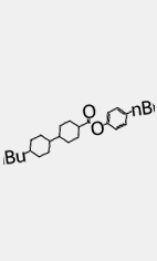 CCCCc1ccc(OC(=O)C2CCC(C3CCC(CCCC)CC3)CC2)cc1